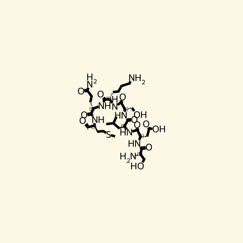 CSCC[C@@H]([C]=O)NC(=O)[C@H](CCC(N)=O)NC(=O)[C@H](CCCCN)NC(=O)[C@H](CO)NC(=O)[C@H](CC(C)C)NC(=O)[C@H](CC(=O)O)NC(=O)[C@@H](N)CO